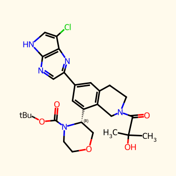 CC(C)(C)OC(=O)N1CCOC[C@H]1c1cc(-c2cnc3[nH]cc(Cl)c3n2)cc2c1CN(C(=O)C(C)(C)O)CC2